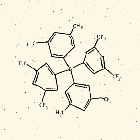 Cc1cc(C)cc([B-](c2cc(C)cc(C(F)(F)F)c2)(c2cc(C(F)(F)F)cc(C(F)(F)F)c2)c2cc(C(F)(F)F)cc(C(F)(F)F)c2)c1